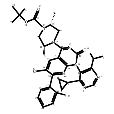 CC(C)c1ncnc(C2CC2)c1-n1c(=O)nc(N2C[C@@H](C)N(C(=O)OC(C)(C)C)C[C@@H]2C)c2cc(Cl)c(-c3ccccc3F)nc21